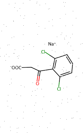 O=C([O-])CC(=O)c1c(Cl)cccc1Cl.[Na+]